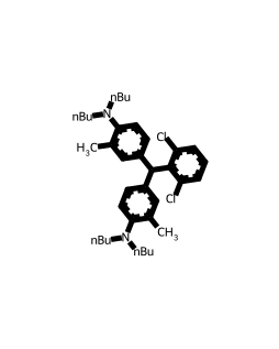 CCCCN(CCCC)c1ccc(C(c2ccc(N(CCCC)CCCC)c(C)c2)c2c(Cl)cccc2Cl)cc1C